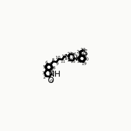 O=C1CCc2ccc(CCCCCN3CCN(c4cccc5sccc45)CC3)cc2N1